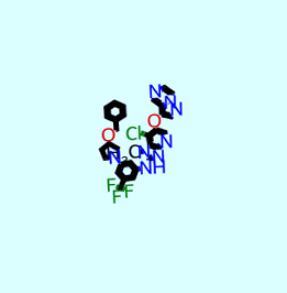 Cn1c(Nc2cc(N3CC[C@H](OCc4ccccc4)C3)cc(C(F)(F)F)c2)nc2ncc(Oc3cnn4ccncc34)c(Cl)c21